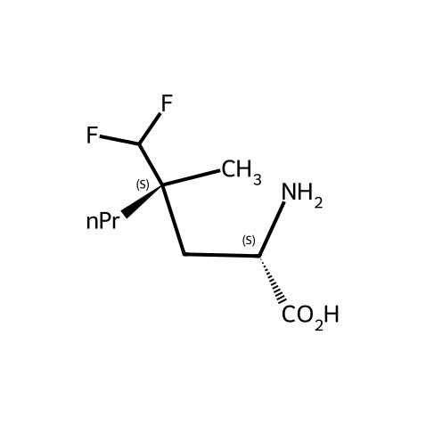 CCC[C@@](C)(C[C@H](N)C(=O)O)C(F)F